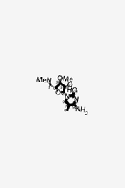 CNC[C@H]1O[C@@H](n2cc(C)c(N)nc2=O)[C@@H](O)C1OC